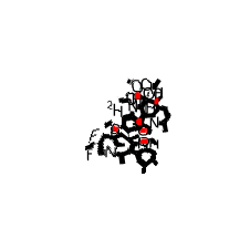 [2H]c1c(OCC)c([C@@]2(C(=O)OCC)C[C@@H]3C[C@@H](C(C)(F)F)CN(C(C)c4c2[nH]c2cc(C)c(C)cc42)C3C)c(C)c2c1N(CC)[C@@H]1C23[C@H](C)C(C)N2C(C)C=C[C@](CC)([C@H]23)[C@@H](OC(C)=O)[C@]1(O)C(=O)OC